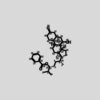 CC(C)[C@@H](CC[C@@H](C)[C@H]1CC[C@H]2[C@@H]3[C@H](O)CC4CC(=O)CC[C@]4(C)[C@H]3CC[C@]12C)OC(=O)c1ccccc1